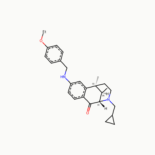 CCOc1ccc(CNc2ccc3c(c2)[C@@]2(C)CCN(CC4CC4)[C@H](C3=O)[C@@H]2C)cc1